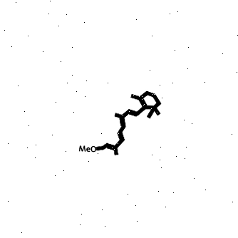 COCC=C(C)C=CC=C(C)C=CC1=C(C)CCCC1(C)C